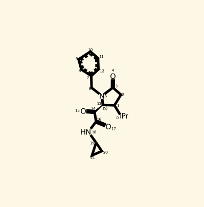 CC(C)C1CC(=O)N(Cc2ccccc2)[C@@H]1C(=O)C(=O)NC1CC1